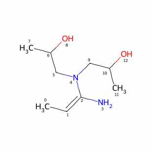 CC=C(N)N(CC(C)O)CC(C)O